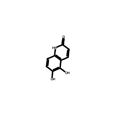 O=c1ccc2c(O)c(O)ccc2[nH]1